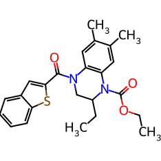 CCOC(=O)N1c2cc(C)c(C)cc2N(C(=O)c2cc3ccccc3s2)CC1CC